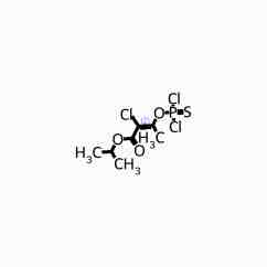 C/C(OP(=S)(Cl)Cl)=C(/Cl)C(=O)OC(C)C